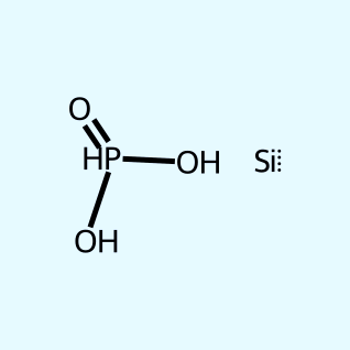 O=[PH](O)O.[Si]